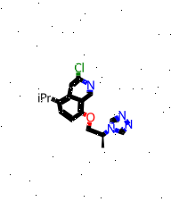 CC(C)c1ccc(OC[C@H](C)n2cnnc2)c2cnc(Cl)cc12